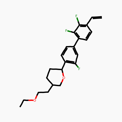 C=Cc1ccc(-c2ccc(C3CCC(CCOCC)CO3)c(F)c2)c(F)c1F